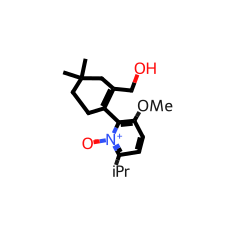 COc1ccc(C(C)C)[n+]([O-])c1C1=C(CO)CC(C)(C)CC1